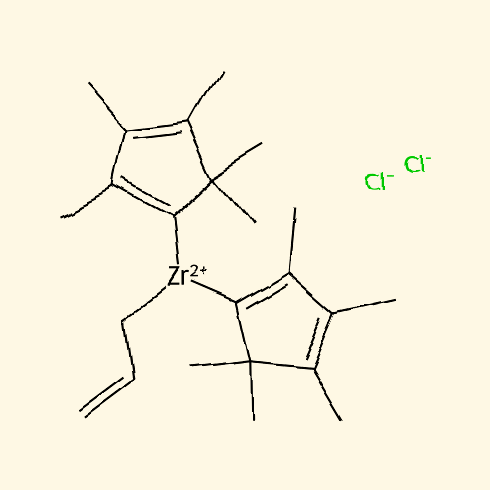 C=C[CH2][Zr+2]([C]1=C(C)C(C)=C(C)C1(C)C)[C]1=C(C)C(C)=C(C)C1(C)C.[Cl-].[Cl-]